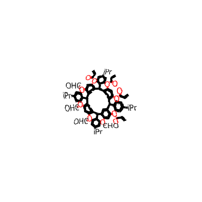 C=CC(=O)Oc1cc(OC=O)c2cc1C(c1ccc(C(C)C)cc1)c1cc(c(OC(=O)C=C)cc1OC(=O)C=C)C(c1ccc(C(C)C)cc1)c1cc(c(OC=O)cc1OC(=O)C=C)C(c1ccc(C(C)C)cc1)c1cc(c(OC=O)cc1OC=O)C2c1ccc(C(C)C)cc1